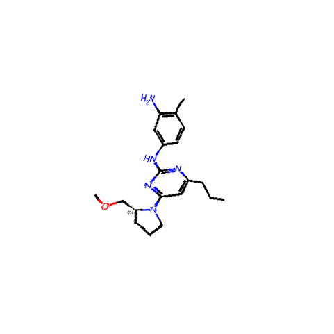 CCCc1cc(N2CCC[C@H]2COC)nc(Nc2ccc(C)c(N)c2)n1